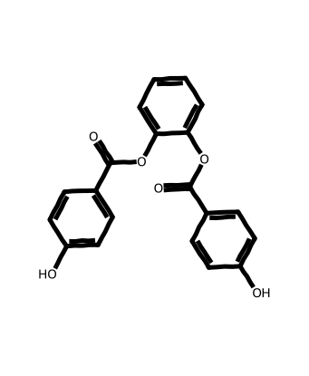 O=C(Oc1ccccc1OC(=O)c1ccc(O)cc1)c1ccc(O)cc1